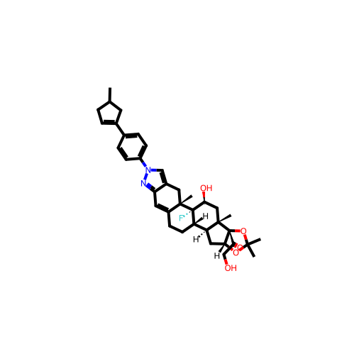 CC1CC=C(c2ccc(-n3cc4c(n3)C=C3CC[C@H]5[C@@H]6C[C@H]7OC(C)(C)O[C@@]7(C(=O)CO)[C@@]6(C)C[C@H](O)[C@]5(F)[C@@]3(C)C4)cc2)C1